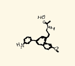 COc1ccc2cc(-c3cccc(N)c3)cc(CCNC(C)=O)c2c1.Cl